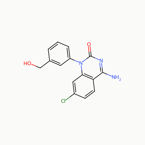 Nc1nc(=O)n(-c2cccc(CO)c2)c2cc(Cl)ccc12